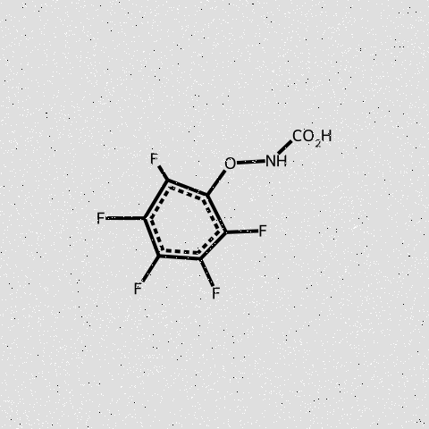 O=C(O)NOc1c(F)c(F)c(F)c(F)c1F